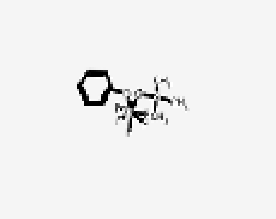 C[Si](C)(C)[O][Zn]([F])([F])([F])([F])([F])[O]c1ccccc1